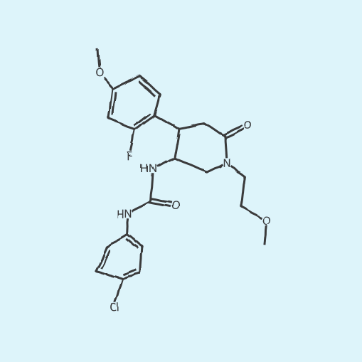 COCCN1CC(NC(=O)Nc2ccc(Cl)cc2)C(c2ccc(OC)cc2F)CC1=O